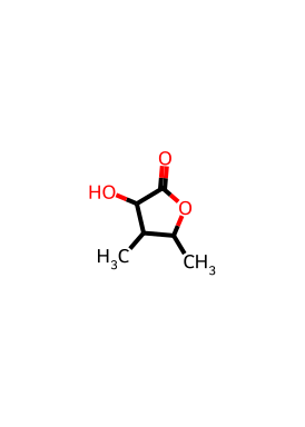 CC1OC(=O)C(O)C1C